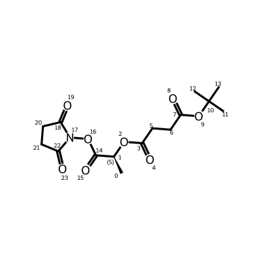 C[C@H](OC(=O)CCC(=O)OC(C)(C)C)C(=O)ON1C(=O)CCC1=O